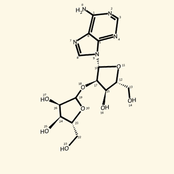 Nc1ncnc2c1ncn2[C@@H]1O[C@H](CO)[C@@H](O)[C@H]1OC1O[C@H](CO)[C@@H](O)[C@H]1O